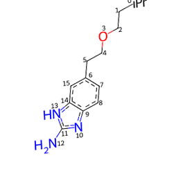 CC(C)CCOCCc1ccc2nc(N)[nH]c2c1